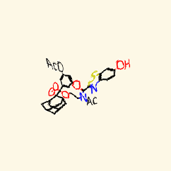 CC(=O)Oc1cccc(C2(OCCN(C(C)=O)C(=O)c3nc4ccc(O)cc4s3)OOC23C2CC4CC(C2)CC3C4)c1